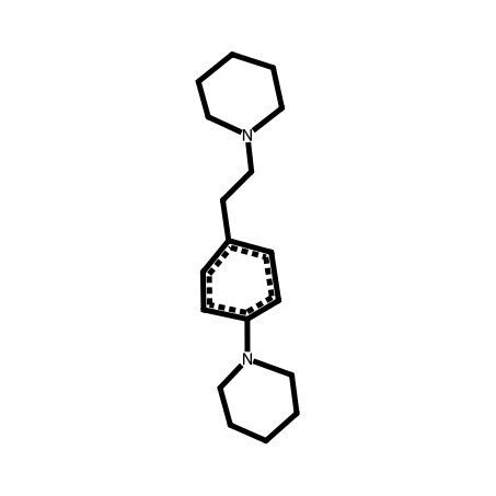 c1cc(N2CCCCC2)ccc1CCN1CCCCC1